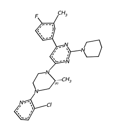 Cc1cc(-c2cc(N3CCN(c4ncccc4Cl)C[C@H]3C)nc(N3CCCCC3)n2)ccc1F